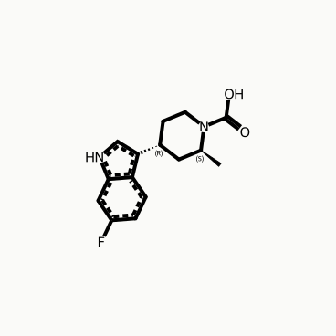 C[C@H]1C[C@H](c2c[nH]c3cc(F)ccc23)CCN1C(=O)O